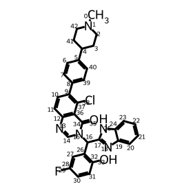 CN1CCC(c2ccc(-c3ccc4ncn(C(c5nc6ccccc6[nH]5)c5cc(F)ccc5O)c(=O)c4c3Cl)cc2)CC1